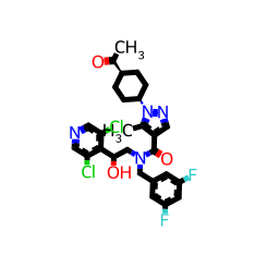 Cc1c(C(=O)N(Cc2cc(F)cc(F)c2)CC(O)c2c(Cl)cncc2Cl)cnn1[C@H]1CC[C@H](C(C)=O)CC1